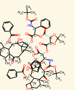 CC1=C2[C@@H](C)C(=O)[C@@]3(C)C([C@H](OC(=O)c4ccccc4)[C@](O)(C[C@@H]1OC(=O)[C@H](OC(=O)[C@@H]1OC(C)(C)O[C@H]1C(=O)O[C@@H](C(=O)O[C@H]1C[C@@]4(O)[C@@H](OC(=O)c5ccccc5)C5[C@]6(C)CO[C@@H]6C[C@H](C)[C@@]5(C)C(=O)[C@H](C)C(=C1C)C4(C)C)[C@@H](NC(=O)OC(C)(C)C)c1ccccc1)[C@@H](NC(=O)OC(C)(C)C)c1ccccc1)C2(C)C)[C@]1(C)CO[C@@H]1C[C@@H]3C